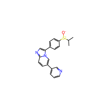 CC(C)[S+]([O-])c1ccc(-c2cnc3ccc(-c4cccnc4)cn23)cc1